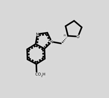 O=C(O)c1ccc2ncn(C[C@@H]3CCCO3)c2c1